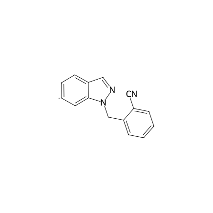 N#Cc1ccccc1Cn1ncc2cc[c]cc21